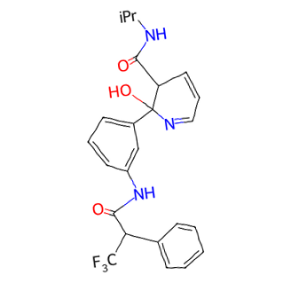 CC(C)NC(=O)C1C=CC=NC1(O)c1cccc(NC(=O)C(c2ccccc2)C(F)(F)F)c1